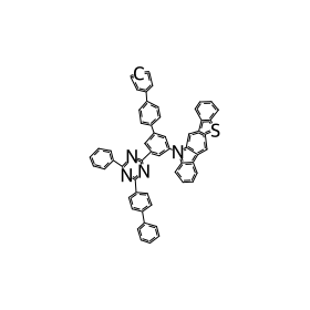 c1ccc(-c2ccc(-c3cc(-c4nc(-c5ccccc5)nc(-c5ccc(-c6ccccc6)cc5)n4)cc(-n4c5ccccc5c5cc6sc7ccccc7c6cc54)c3)cc2)cc1